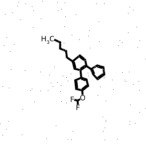 CCCCCc1ccc(-c2ccccc2)c(-c2ccc(OC(F)F)cc2)c1